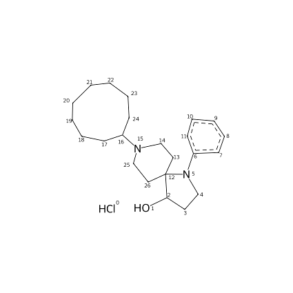 Cl.OC1CCN(c2ccccc2)C12CCN(C1CCCCCCCC1)CC2